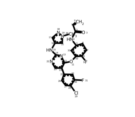 C=CC(=O)Nc1ccc(F)c(Oc2nc(Nc3cnn(C)c3)ncc2-c2ccc(Cl)c(F)c2)c1